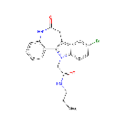 CNCCNC(=O)Cn1c2c(c3cc(Br)ccc31)CC(=O)Nc1ccccc1-2